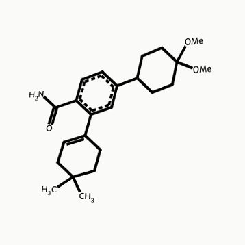 COC1(OC)CCC(c2ccc(C(N)=O)c(C3=CCC(C)(C)CC3)c2)CC1